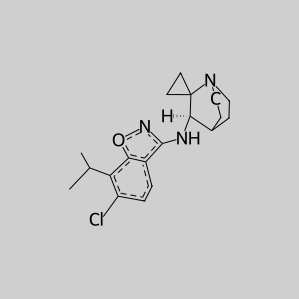 CC(C)c1c(Cl)ccc2c(N[C@@H]3C4CCN(CC4)C34CC4)noc12